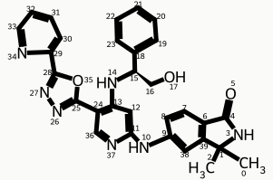 CC1(C)NC(=O)c2ccc(Nc3cc(N[C@H](CO)c4ccccc4)c(-c4nnc(-c5ccccn5)o4)cn3)cc21